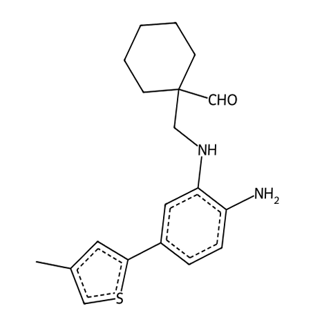 Cc1csc(-c2ccc(N)c(NCC3(C=O)CCCCC3)c2)c1